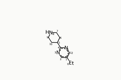 CCc1cnc(C2CCNCC2)nc1